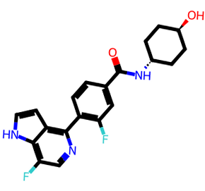 O=C(N[C@H]1CC[C@H](O)CC1)c1ccc(-c2ncc(F)c3[nH]ccc23)c(F)c1